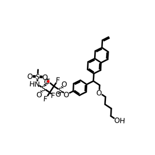 C=Cc1ccc2cc(C(COCCCCO)c3ccc(OS(=O)(=O)C(F)(F)C(F)(F)S(=O)(=O)NS(C)(=O)=O)cc3)ccc2c1